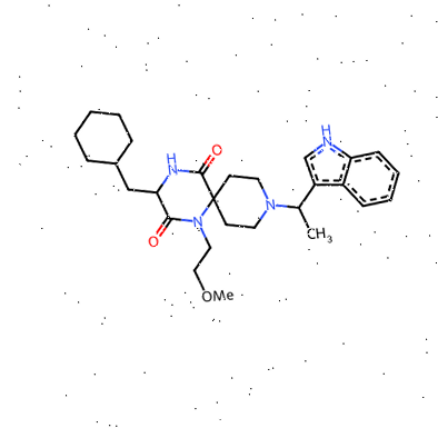 COCCN1C(=O)C(CC2CCCCC2)NC(=O)C12CCN(C(C)c1c[nH]c3ccccc13)CC2